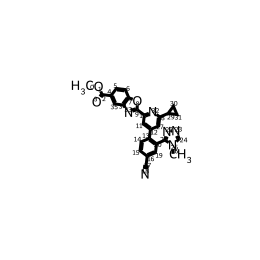 COC(=O)c1ccc2oc(-c3cc(-c4ccc(C#N)cc4-c4nncn4C)cc(C4CC4)n3)nc2c1